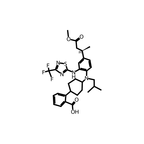 COC(=O)C[C@@H](C)c1ccc(N(CC(C)C)C2CCC(c3ccccc3C(=O)O)CC2)c(Nc2nc(C(F)(F)F)ns2)c1